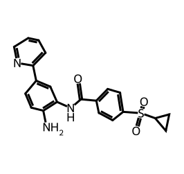 Nc1ccc(-c2ccccn2)cc1NC(=O)c1ccc(S(=O)(=O)C2CC2)cc1